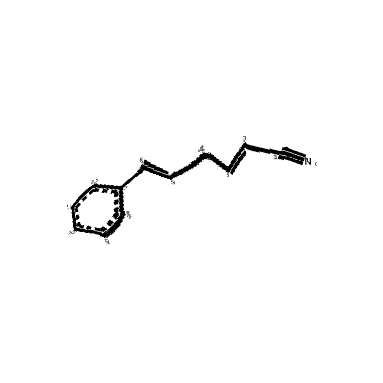 N#CC=CCC=Cc1ccccc1